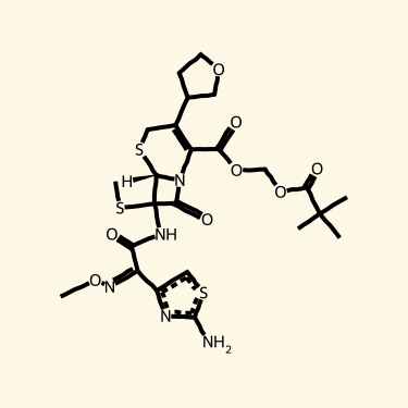 CO/N=C(\C(=O)NC1(SC)C(=O)N2C(C(=O)OCOC(=O)C(C)(C)C)=C(C3CCOC3)CS[C@H]21)c1csc(N)n1